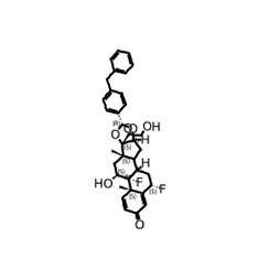 C[C@]12C=CC(=O)C=C1[C@@H](F)C[C@H]1C3C[C@H]4O[C@@H](c5ccc(Cc6ccccc6)cc5)O[C@@]4(C(=O)CO)[C@@]3(C)C[C@H](O)[C@@]12F